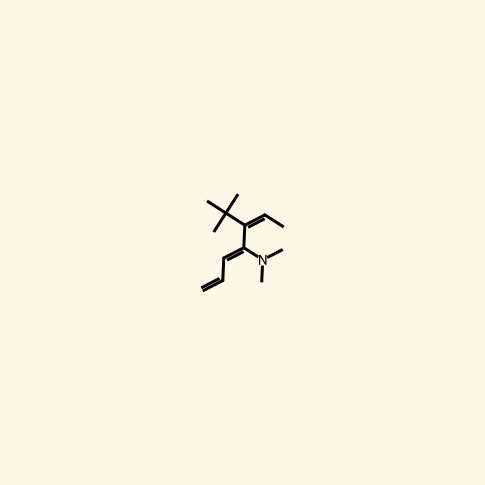 C=C/C=C(/C(=C\C)C(C)(C)C)N(C)C